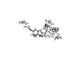 COc1c(C2(O)CCNCC2)ccc(-c2cc3cc(C#CCCO)cnc3[nH]2)c1CN1C2CCC1COC2